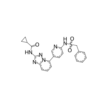 O=C(Nc1nc2cccc(-c3ccc(NS(=O)(=O)Cc4ccccc4)nc3)n2n1)C1CC1